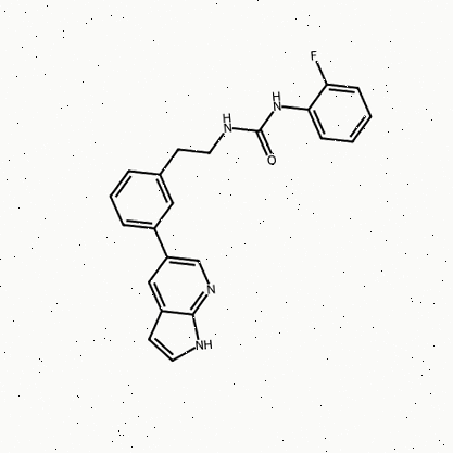 O=C(NCCc1cccc(-c2cnc3[nH]ccc3c2)c1)Nc1ccccc1F